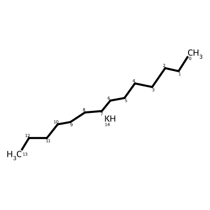 CCCCCCCCCCCCCC.[KH]